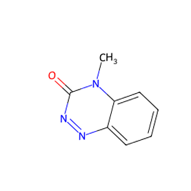 Cn1c(=O)nnc2ccccc21